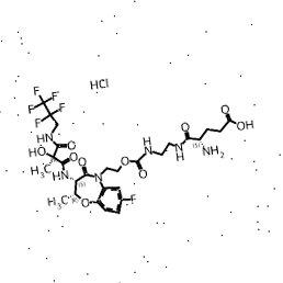 C[C@H]1Oc2ccc(F)cc2N(CCOC(=O)NCCNC(=O)[C@@H](N)CCC(=O)O)C(=O)[C@H]1NC(=O)[C@@](C)(O)C(=O)NCC(F)(F)C(F)(F)F.Cl